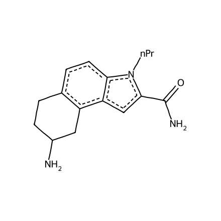 CCCn1c(C(N)=O)cc2c3c(ccc21)CCC(N)C3